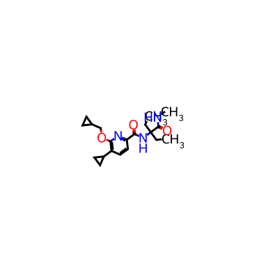 CCC(CC)(NC(=O)c1ccc(C2CC2)c(OCC2CC2)n1)C(=O)NC